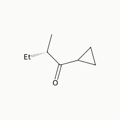 CC[C@H](C)C(=O)C1CC1